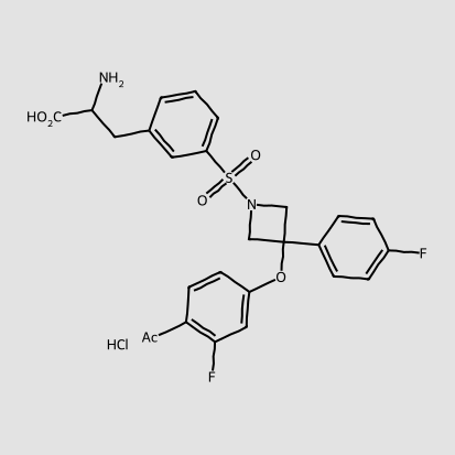 CC(=O)c1ccc(OC2(c3ccc(F)cc3)CN(S(=O)(=O)c3cccc(CC(N)C(=O)O)c3)C2)cc1F.Cl